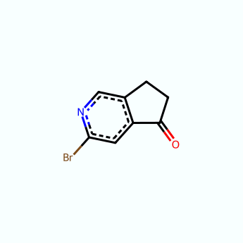 O=C1CCc2cnc(Br)cc21